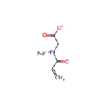 C=CC(=O)NCC(=O)[O-].[Na+]